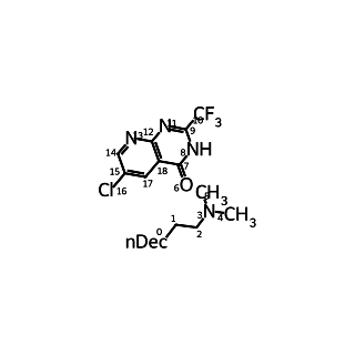 CCCCCCCCCCCCN(C)C.O=c1[nH]c(C(F)(F)F)nc2ncc(Cl)cc12